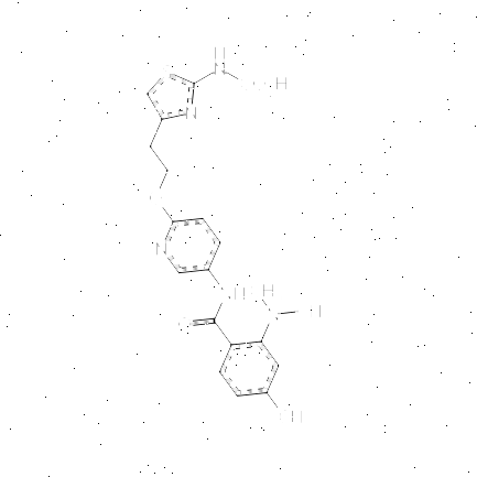 Cc1ccc(C(=O)Nc2ccc(OCCc3csc(NC(=O)O)n3)nc2)c(N(C)C)c1